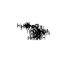 CNC(=O)[C@H](CC(=O)O)NC(=O)[C@@H](NC(=O)[C@H](CC(=O)O)NC(=O)[C@@H](NC(=O)CC[C@H](NC(=O)c1ccc(NCc2cnc3nc(N)[nH]c(=O)c3n2)cc1)C(=O)O)[C@@H](O)[C@H](O)[C@H](O)CO)[C@@H](O)[C@H](O)[C@H](O)CO